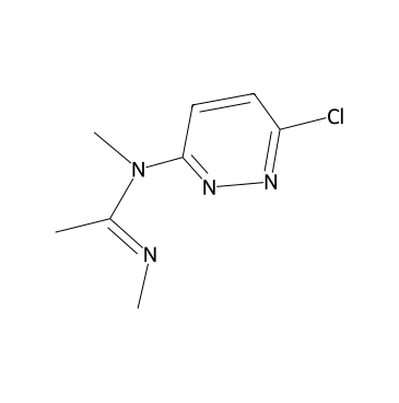 CN=C(C)N(C)c1ccc(Cl)nn1